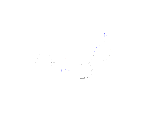 Cc1ccc(C(=O)Nc2cccc(C3(C)CCSC(N)=N3)c2)c(F)c1F